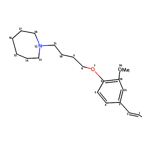 C/C=C/c1ccc(OCCCCN2CCCCCC2)c(OC)c1